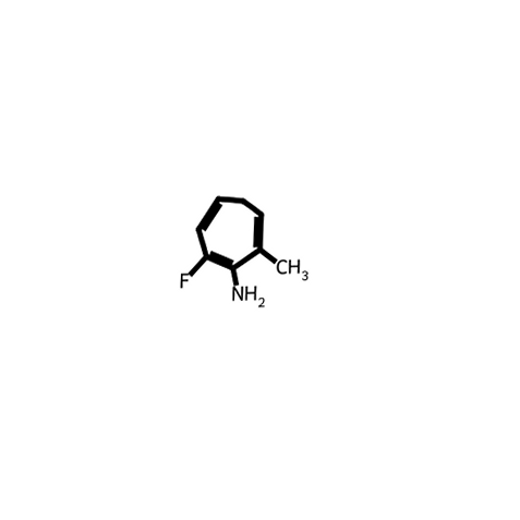 CC1=CCC=CC(F)=C1N